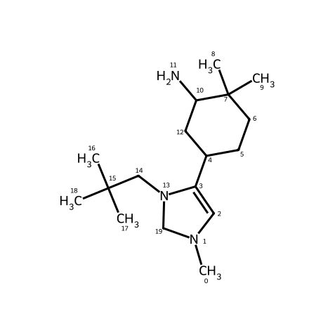 CN1C=C(C2CCC(C)(C)C(N)C2)N(CC(C)(C)C)C1